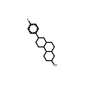 CCCC1CCC2C(CCC3CC(c4ccc(F)cc4)CCC32)C1